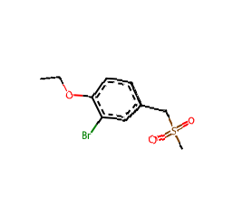 CCOc1ccc(CS(C)(=O)=O)cc1Br